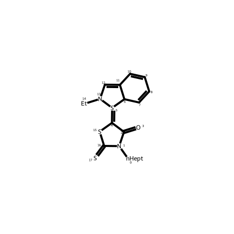 CCCCCCCN1C(=O)C(=S2C3C=CC=CC3=CN2CC)SC1=S